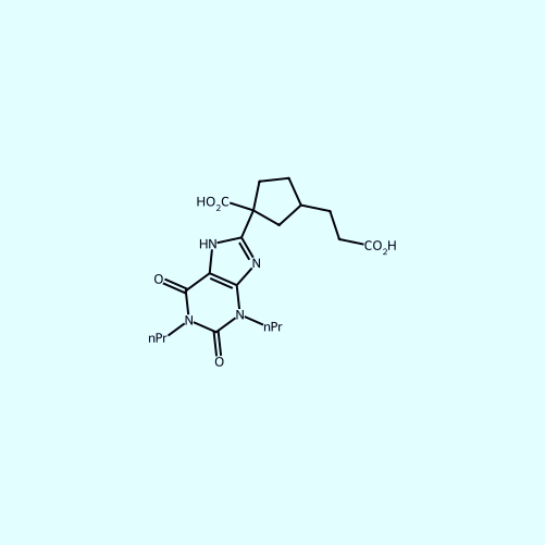 CCCn1c(=O)c2[nH]c(C3(C(=O)O)CCC(CCC(=O)O)C3)nc2n(CCC)c1=O